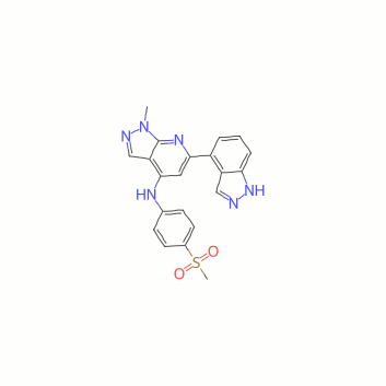 Cn1ncc2c(Nc3ccc(S(C)(=O)=O)cc3)cc(-c3cccc4[nH]ncc34)nc21